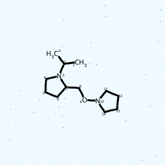 CC(C)N1CCCC1CON1CCCC1